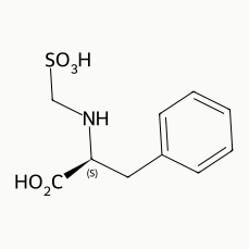 O=C(O)[C@H](Cc1ccccc1)NCS(=O)(=O)O